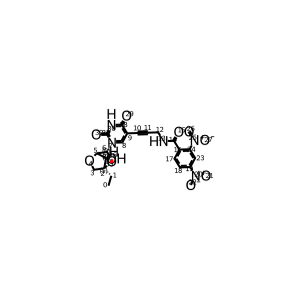 CC[C@@]12COC([C@H](n3cc(C#CCNC(=O)c4ccc([N+](=O)[O-])cc4[N+](=O)[O-])c(=O)[nH]c3=O)O1)[C@H]2O